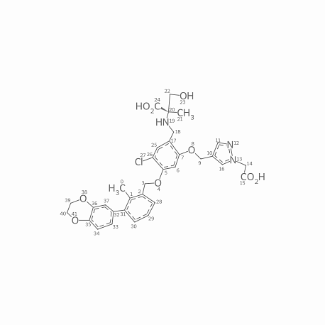 Cc1c(COc2cc(OCc3cnn(CC(=O)O)c3)c(CN[C@@](C)(CO)C(=O)O)cc2Cl)cccc1-c1ccc2c(c1)OCCO2